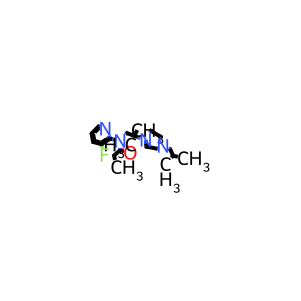 CCC(=O)N(CC(C)(C)N1CCN(CC(C)C)CC1)c1ncccc1F